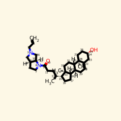 C=CCN1C[C@@H]2CCN(C(=O)CCC(C)[C@H]3CC[C@H]4[C@@H]5CC=C6C[C@@H](O)CC[C@]6(C)[C@H]5CC[C@]34C)[C@@H]2C1